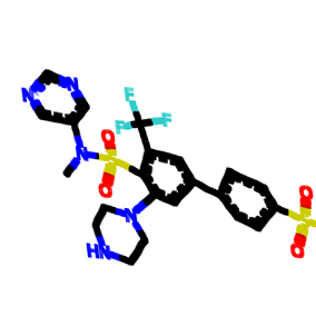 CN(c1cncnc1)S(=O)(=O)c1c(N2CCNCC2)cc(-c2ccc(S(C)(=O)=O)cc2)cc1C(F)(F)F